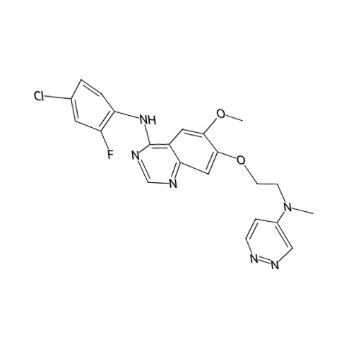 COc1cc2c(Nc3ccc(Cl)cc3F)ncnc2cc1OCCN(C)c1ccnnc1